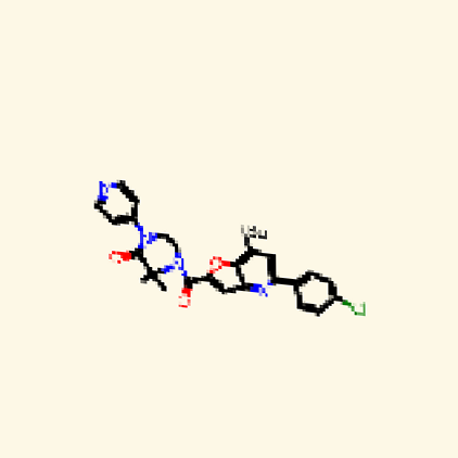 CC(C)(C)c1cc(-c2ccc(Cl)cc2)nc2cc(C(=O)N3CCN(c4ccncc4)C(=O)C3(C)C)oc12